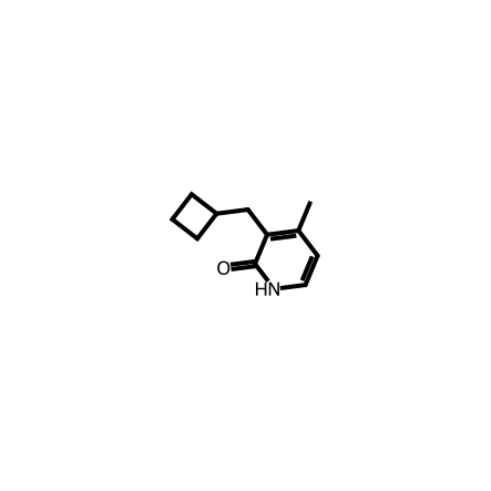 Cc1cc[nH]c(=O)c1CC1CCC1